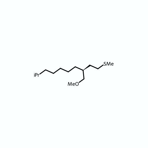 [CH2]SCC[C@H](CCCCCC(C)C)COC